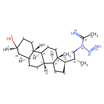 CCC[C@@]1(O)CC[C@H]2[C@@H](CC[C@@H]3[C@@H]2CC[C@]2(C)[C@@H]([C@@H](C)CN(N=N)C(C)=N)CC[C@@H]32)C1